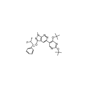 Cn1nc(O[C@H](c2ccccc2)C(F)F)c2cc(-c3cnc(OC(C)(C)C)nc3OC(C)(C)C)nnc21